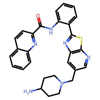 NC1CCN(Cc2cnc3sc(-c4ccccc4NC(=O)c4ccc5ccccc5n4)nc3c2)CC1